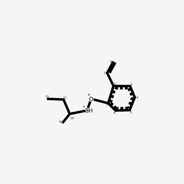 C=Cc1ccccc1OBC(C)CC